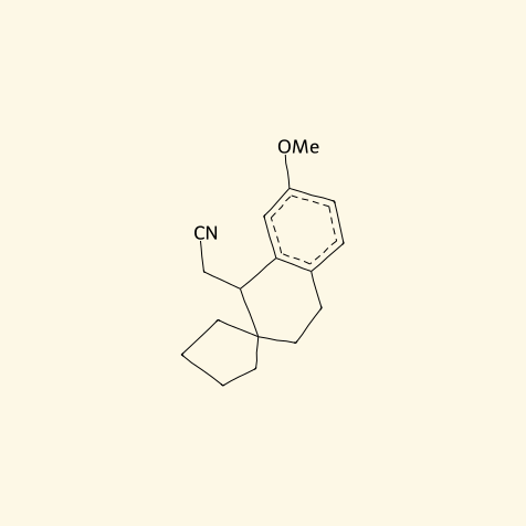 COc1ccc2c(c1)C(CC#N)C1(CCCC1)CC2